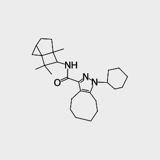 CC1(C)C(NC(=O)c2nn(C3CCCCC3)c3c2CCCCCC3)C2(C)CCC3CC312